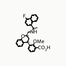 COc1c(C(=O)O)cccc1[C@@H]1C[C@H](CN[C@H](C)c2ccc(F)c3ccccc23)Oc2ccccc21